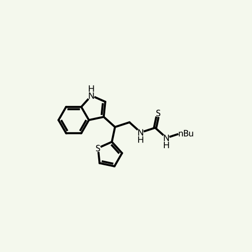 CCCCNC(=S)NCC(c1cccs1)c1c[nH]c2ccccc12